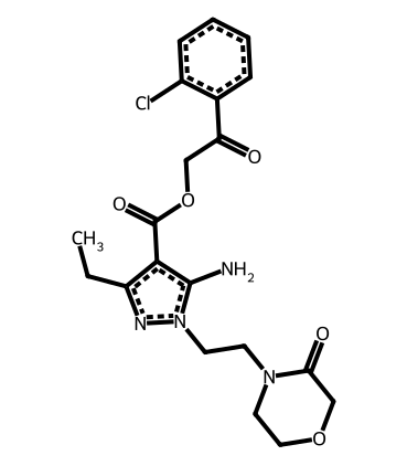 CCc1nn(CCN2CCOCC2=O)c(N)c1C(=O)OCC(=O)c1ccccc1Cl